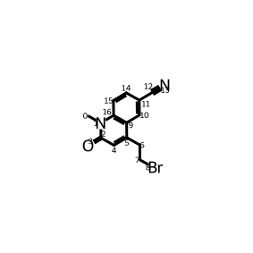 Cn1c(=O)cc(CCBr)c2cc(C#N)ccc21